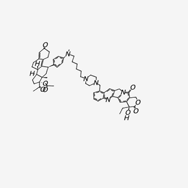 CC[C@@]1(O)C(=O)OCc2c1cc1n(c2=O)Cc2cc3c(CN4CCN(CCCCCCN(C)c5ccc([C@H]6C[C@@]7(C)[C@@H](CC[C@]7(OC(C)=O)C(C)=O)[C@@H]7CCC8=CC(=O)CCC8=C76)cc5)CC4)cccc3nc2-1